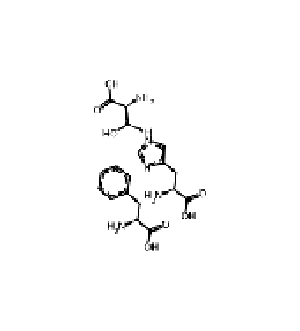 C[C@@H](O)[C@H](N)C(=O)O.N[C@@H](Cc1c[nH]cn1)C(=O)O.N[C@@H](Cc1ccccc1)C(=O)O